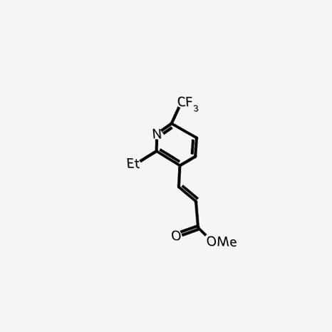 CCc1nc(C(F)(F)F)ccc1C=CC(=O)OC